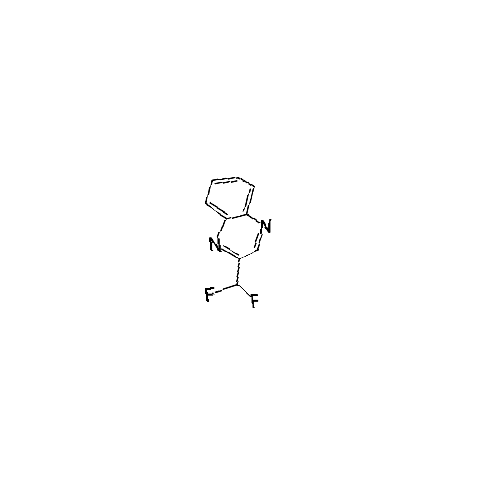 FC(F)c1cnc2ccccc2n1